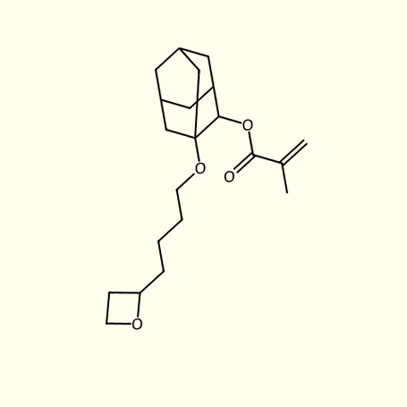 C=C(C)C(=O)OC1C2CC3CC(C2)CC1(OCCCCC1CCO1)C3